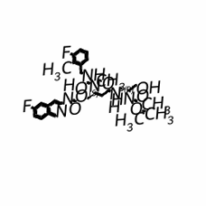 Cc1c(F)cccc1CNC(=O)N(C)[C@H](COC(=O)Nc1cc2cc(F)ccc2cn1)CC(=O)NC[C@H](CO)NC(=O)OC(C)(C)C